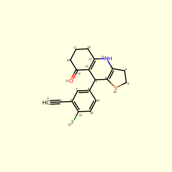 C#Cc1cc(C2C3=C(CCS3)NC3=C2C(=O)CCC3)ccc1F